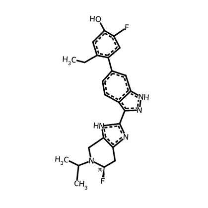 CCc1cc(O)c(F)cc1-c1ccc2c(-c3nc4c([nH]3)CN(C(C)C)[C@H](F)C4)n[nH]c2c1